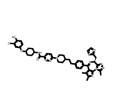 Cc1sc2c(c1C)C(c1ccc(CCC3CCN(c4ccc(C(=O)NC5CCC(Oc6ccc(C#N)c(Cl)c6)CC5)nn4)CC3)cc1)=N[C@@H](Cc1ncco1)c1nnc(C)n1-2